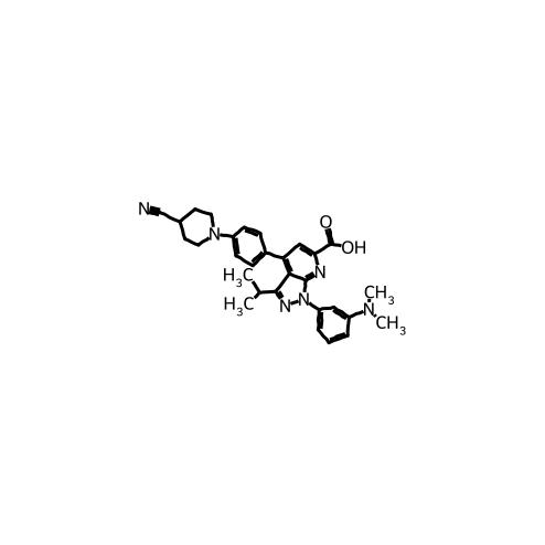 CC(C)c1nn(-c2cccc(N(C)C)c2)c2nc(C(=O)O)cc(-c3ccc(N4CCC(C#N)CC4)cc3)c12